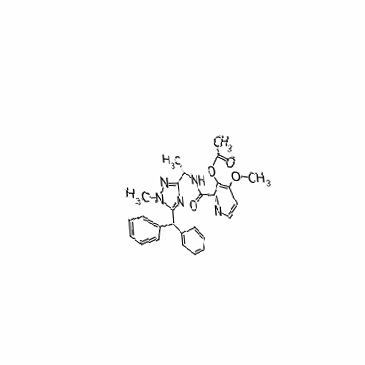 COc1ccnc(C(=O)N[C@@H](C)c2nc(C(c3ccccc3)c3ccccc3)n(C)n2)c1OC(C)=O